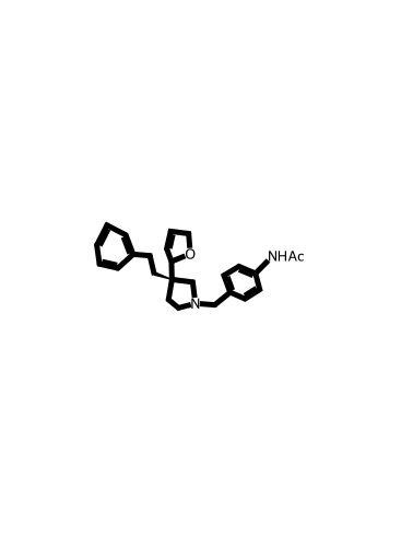 CC(=O)Nc1ccc(CN2CC[C@](CCc3ccccc3)(C3C=CCO3)C2)cc1